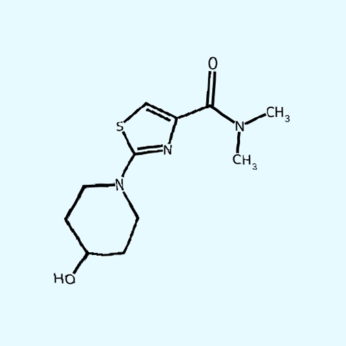 CN(C)C(=O)c1csc(N2CCC(O)CC2)n1